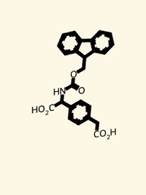 O=C(O)Cc1ccc(C(NC(=O)OCC2c3ccccc3-c3ccccc32)C(=O)O)cc1